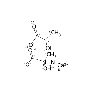 CC(O)C(=O)[O-].CC(O)C(=O)[O-].N.[Ca+2]